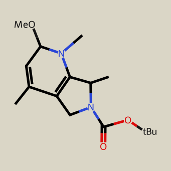 COC1C=C(C)C2=C(C(C)N(C(=O)OC(C)(C)C)C2)N1C